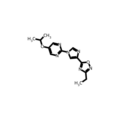 CCc1noc(-c2cn(-c3ncc(OC(C)C)cn3)cn2)n1